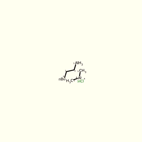 CCCCC[CH2][AlH2].Cl.[CH3][Al][CH3]